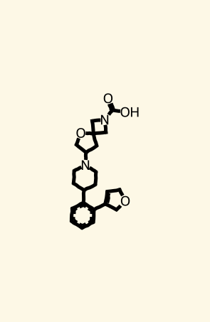 O=C(O)N1CC2(CC(N3CCC(c4ccccc4C4=CCOC4)CC3)CO2)C1